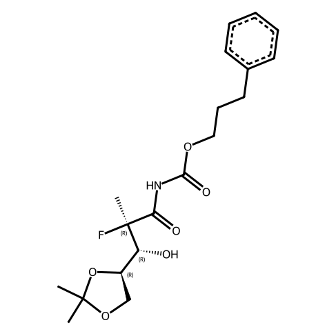 CC1(C)OC[C@H]([C@@H](O)[C@@](C)(F)C(=O)NC(=O)OCCCc2ccccc2)O1